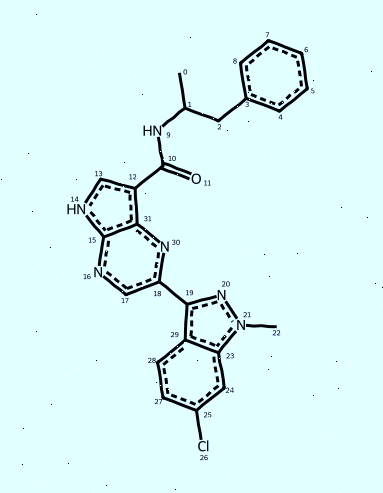 CC(Cc1ccccc1)NC(=O)c1c[nH]c2ncc(-c3nn(C)c4cc(Cl)ccc34)nc12